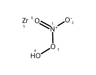 O=[N+]([O-])OO.[Zr]